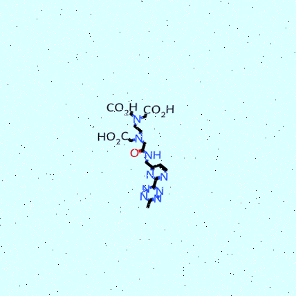 Cc1nnc(-c2nccc(CNC(=O)CN(CCN(CC(=O)O)CC(=O)O)CC(=O)O)n2)nn1